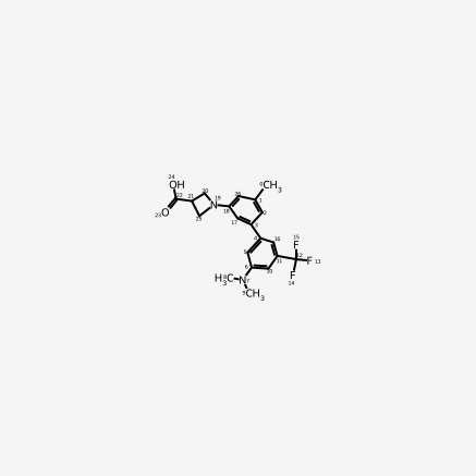 Cc1cc(-c2cc(N(C)C)cc(C(F)(F)F)c2)cc(N2CC(C(=O)O)C2)c1